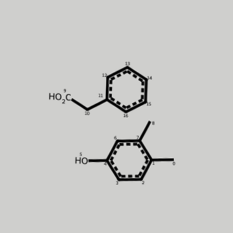 Cc1ccc(O)cc1C.O=C(O)Cc1ccccc1